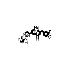 COc1ccc(CC2CNc3cc(-c4ccnc(Nc5ccnn5C)n4)cc4nnc2n34)cc1F